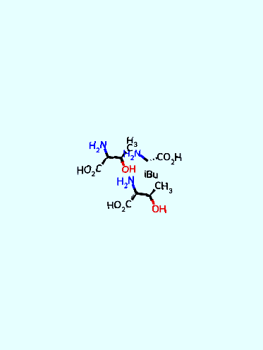 CC[C@H](C)[C@H](N)C(=O)O.C[C@@H](O)[C@H](N)C(=O)O.C[C@@H](O)[C@H](N)C(=O)O